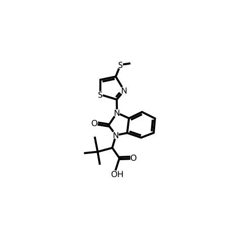 CSc1csc(-n2c(=O)n(C(C(=O)O)C(C)(C)C)c3ccccc32)n1